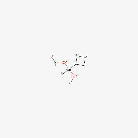 CCO[Si](C)(OC)C1CCC1